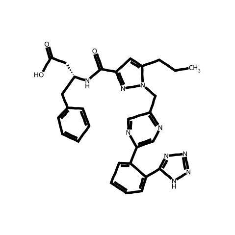 CCCc1cc(C(=O)N[C@@H](CC(=O)O)Cc2ccccc2)nn1Cc1cnc(-c2ccccc2-c2nnn[nH]2)cn1